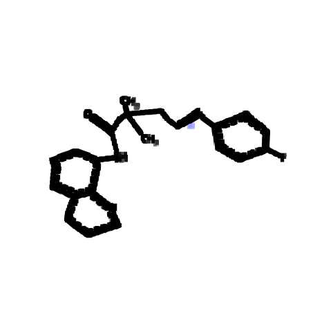 CC(C)(C/C=C/c1ccc(F)cc1)C(=O)Nc1cccc2cccnc12